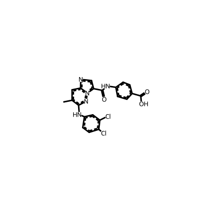 Cc1cc2ncc(C(=O)Nc3ccc(C(=O)O)cc3)n2nc1Nc1ccc(Cl)c(Cl)c1